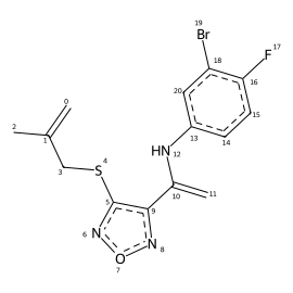 C=C(C)CSc1nonc1C(=C)Nc1ccc(F)c(Br)c1